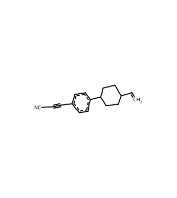 C=CC1CCC(c2ccc(C#CC#N)cc2)CC1